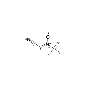 CC(C)(C)/[N+]([O-])=C/C#N